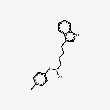 Cc1ccc(SN(O)OCCCc2c[nH]c3ccccc23)cc1